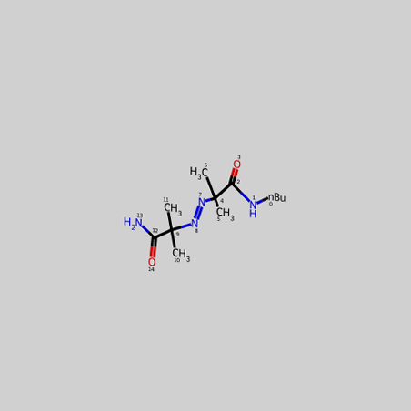 CCCCNC(=O)C(C)(C)N=NC(C)(C)C(N)=O